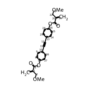 C=C(COC)C(=O)Oc1ccc(C#Cc2ccc(OC(=O)C(=C)COC)cc2)cc1